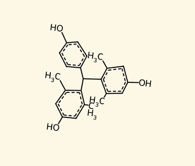 Cc1cc(O)cc(C)c1C(c1ccc(O)cc1)c1c(C)cc(O)cc1C